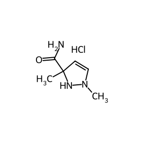 CN1C=CC(C)(C(N)=O)N1.Cl